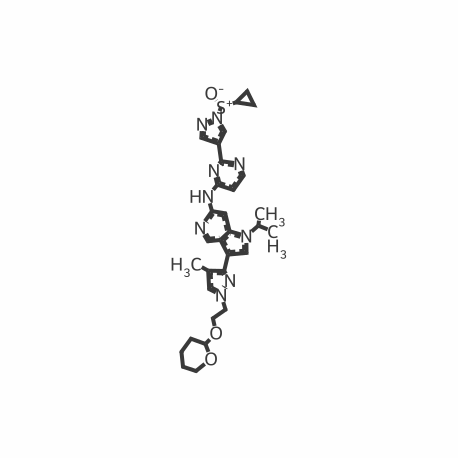 Cc1cn(CCOC2CCCCO2)nc1-c1cn(C(C)C)c2cc(Nc3ccnc(-c4cnn([S+]([O-])C5CC5)c4)n3)ncc12